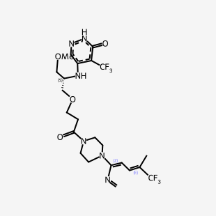 C=N/C(=C\C=C(/C)C(F)(F)F)N1CCN(C(=O)CCOC[C@H](COC)Nc2cn[nH]c(=O)c2C(F)(F)F)CC1